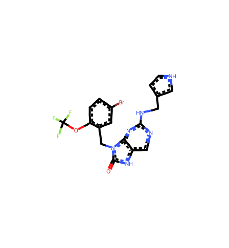 O=c1[nH]c2cnc(NCc3cc[nH]c3)nc2n1Cc1cc(Br)ccc1OC(F)(F)F